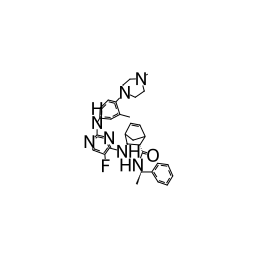 Cc1cc(Nc2ncc(F)c(N[C@@H]3C4C=CC(C4)[C@@H]3C(=O)N[C@H](C)c3ccccc3)n2)ccc1N1CCN(C)CC1